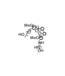 COc1nc(-c2cccc(-c3cccc4c3CC[C@@H]4Oc3nc(OC)c(CN4CCC5(C(=O)O)C=C45)cc3Cl)c2Cl)ccc1CNC[C@@H]1CCC(O)N1